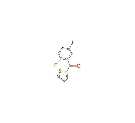 O=C(c1ccns1)c1cc(I)ccc1F